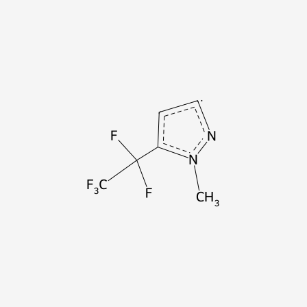 Cn1n[c]cc1C(F)(F)C(F)(F)F